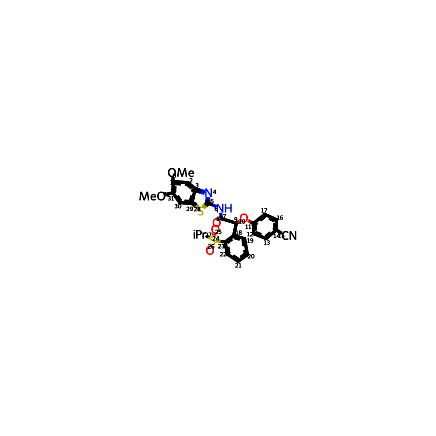 COc1cc2nc(NC(=O)C(Oc3ccc(C#N)cc3)c3ccccc3S(=O)(=O)C(C)C)sc2cc1OC